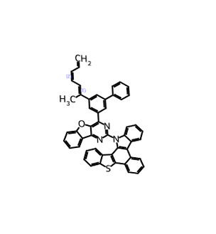 C=C/C=C\C=C(/C)c1cc(-c2ccccc2)cc(-c2nc(-n3c4ccccc4c4c5ccccc5c5sc6ccccc6c5c43)nc3c2oc2ccccc23)c1